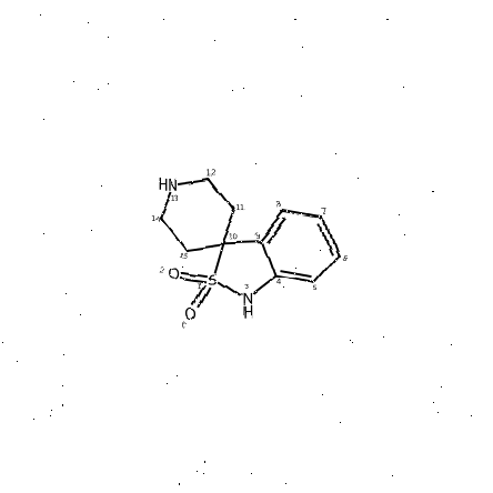 O=S1(=O)Nc2ccccc2C12CCNCC2